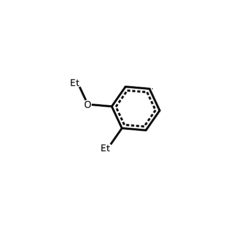 CCOc1c[c]ccc1CC